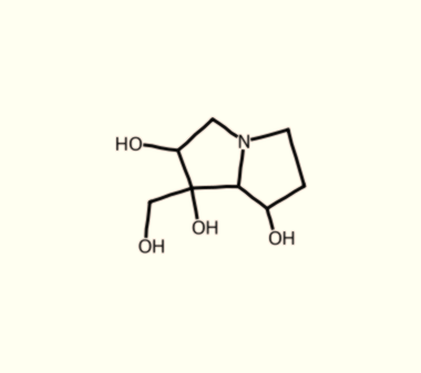 OCC1(O)C(O)CN2CCC(O)C21